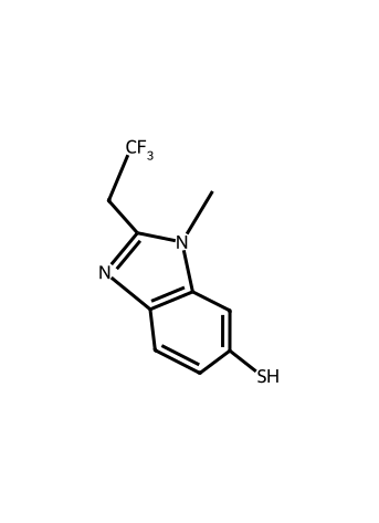 Cn1c(CC(F)(F)F)nc2ccc(S)cc21